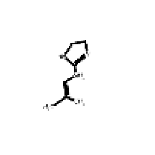 CC(C)=C[SiH2]C1=NCCN1